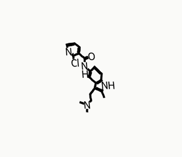 Cc1[nH]c2ccc(NC(=O)c3cccnc3Cl)cc2c1CCN(C)C